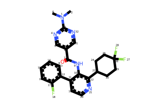 CN(C)c1ncc(C(=O)Nc2c(-c3ccccc3F)ccnc2C2CCC(F)(F)CC2)cn1